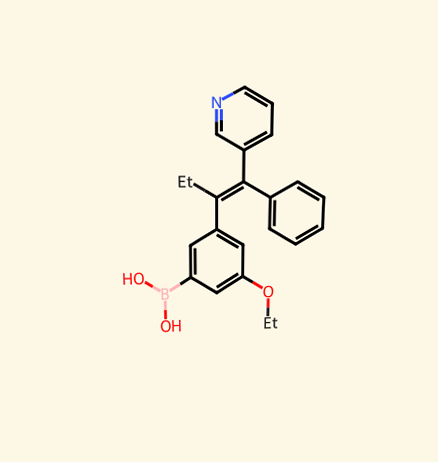 CCOc1cc(B(O)O)cc(/C(CC)=C(\c2ccccc2)c2cccnc2)c1